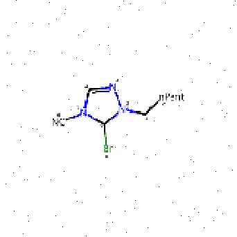 CCCCCCN1N=CN(C#N)C1Br